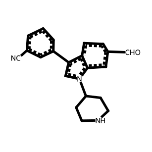 N#Cc1cccc(-c2cn(C3CCNCC3)c3cc(C=O)ccc23)c1